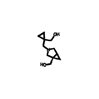 OCC1(CN2CC3C[C@]3(CO)C2)CC1